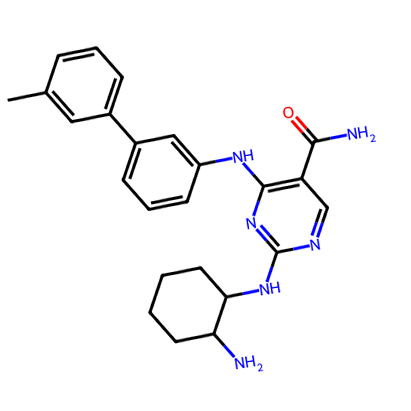 Cc1cccc(-c2cccc(Nc3nc(NC4CCCCC4N)ncc3C(N)=O)c2)c1